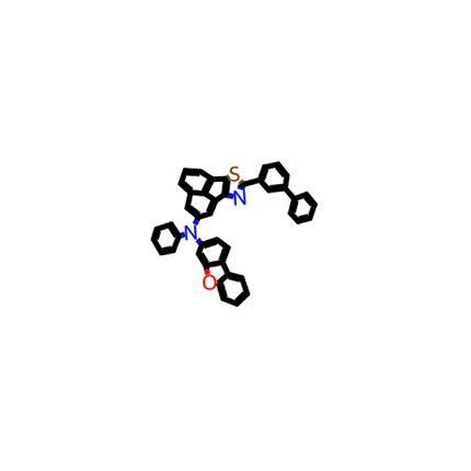 c1ccc(-c2cccc(-c3nc4c(s3)-c3cccc5cc(N(c6ccccc6)c6ccc7c(c6)oc6ccccc67)cc-4c35)c2)cc1